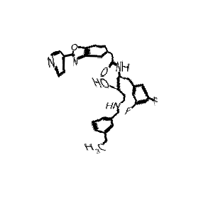 CCc1cccc(CNC[C@@H](O)[C@H](Cc2cc(F)cc(F)c2)NC(=O)Cc2ccc3oc(-c4ccncc4)nc3c2)c1